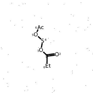 CCC(=O)OSOC(C)=O